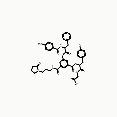 O=C(O)CNC(=O)C(Cc1ccc(O)cc1)NC(=O)c1cc(NC(=O)C(Cc2ccccc2)NC(=O)c2ccc(O)cc2)cc(C(=O)NCCCN2CCCC2=O)c1